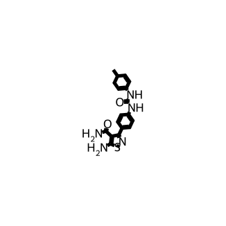 CC1C=CC(NC(=O)Nc2ccc(-c3nsc(N)c3C(N)=O)cc2)=CC1